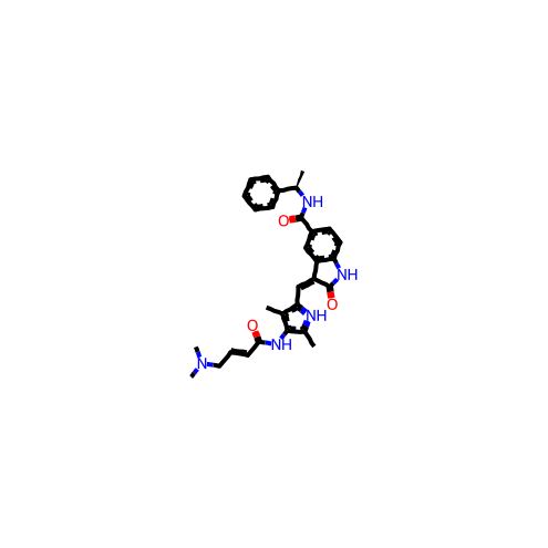 Cc1[nH]c(/C=C2\C(=O)Nc3ccc(C(=O)N[C@H](C)c4ccccc4)cc32)c(C)c1NC(=O)/C=C/CN(C)C